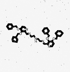 C(=NCCNCCN=Cc1nccc(OCc2ccccc2)c1OCc1ccccc1)c1nccc(OCc2ccccc2)c1OCc1ccccc1